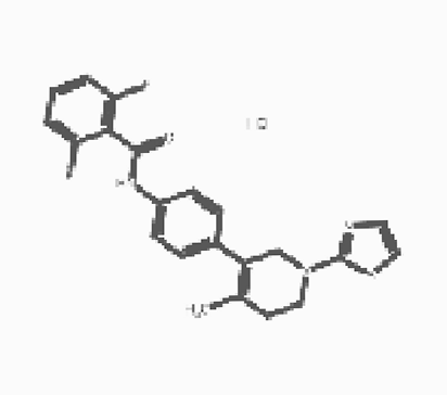 CC1=C(c2ccc(NC(=O)c3c(F)cccc3F)cc2)CN(c2nccs2)CC1.Cl